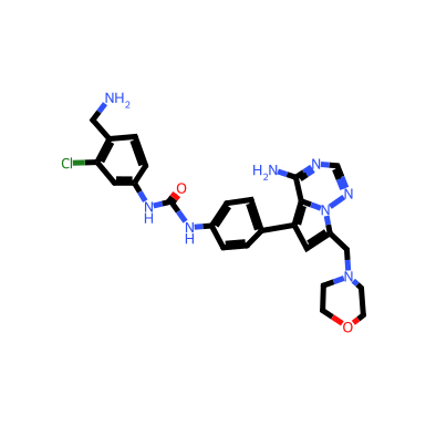 NCc1ccc(NC(=O)Nc2ccc(-c3cc(CN4CCOCC4)n4ncnc(N)c34)cc2)cc1Cl